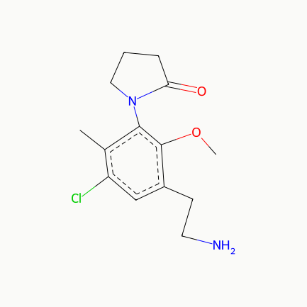 COc1c(CCN)cc(Cl)c(C)c1N1CCCC1=O